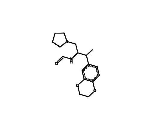 CC(c1ccc2c(c1)OCCO2)C(CN1CCCC1)NC=O